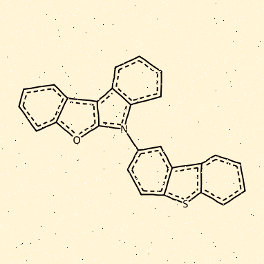 c1ccc2c(c1)oc1c2c2ccccc2n1-c1ccc2sc3ccccc3c2c1